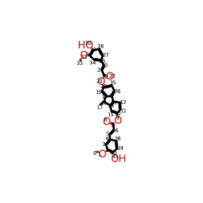 COc1cc(C=CC(=O)Oc2ccc3c(c2)C(C)c2cc(OC(=O)C=Cc4ccc(O)c(OC)c4)ccc2-3)ccc1O